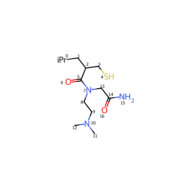 CC(C)CC(CS)C(=O)N(CCN(C)C)CC(N)=O